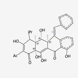 CC(=O)C1=C(O)C(C(C)C)[C@@]2(C)[C@H](O)[C@]3(C)C(=C(O)[C@@]2(O)C1=O)C(=O)c1c(O)cccc1/C3=C\c1ccccc1